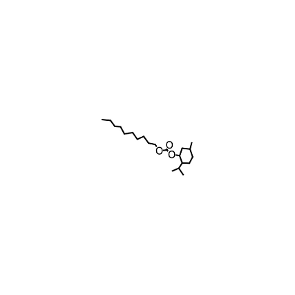 CCCCCCCCCCOC(=O)OC1CC(C)CCC1C(C)C